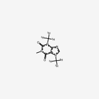 [2H]C([2H])([2H])n1cnc2c1c(=O)n(C)c(=O)n2C([2H])([2H])[2H]